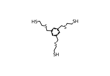 SCCSCc1cc(CSCCS)cc(CSCCS)c1